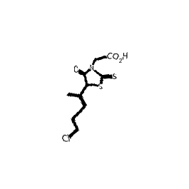 CC(CCCCl)C1SC(=S)N(CC(=O)O)C1=O